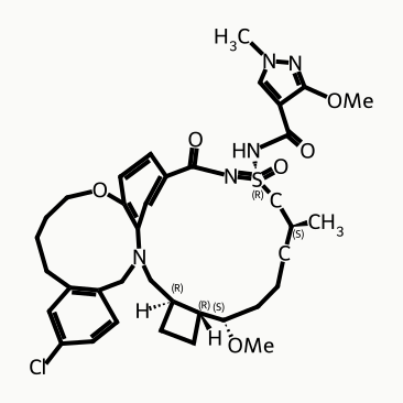 COc1nn(C)cc1C(=O)N[S@@]1(=O)=NC(=O)c2ccc3c(c2)N(Cc2ccc(Cl)cc2CCCCO3)C[C@@H]2CC[C@H]2[C@@H](OC)CCC[C@H](C)C1